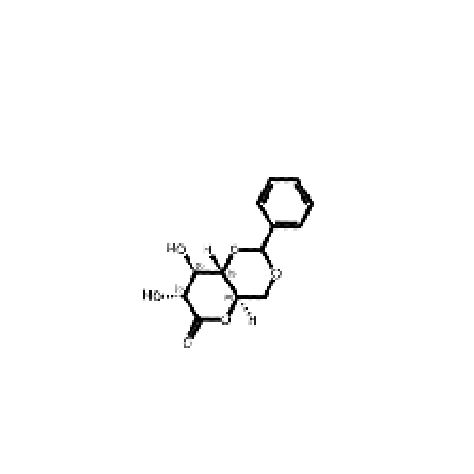 O=C1O[C@@H]2COC(c3ccccc3)O[C@H]2[C@H](O)[C@H]1O